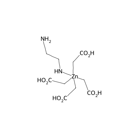 NCC[NH][Zn]([CH2]C(=O)O)([CH2]C(=O)O)([CH2]C(=O)O)[CH2]C(=O)O